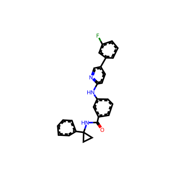 O=C(NC1(c2ccccc2)CC1)c1cccc(Nc2ccc(-c3cccc(F)c3)cn2)c1